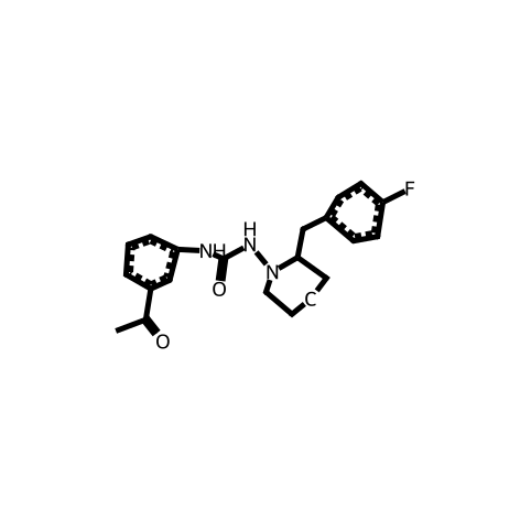 CC(=O)c1cccc(NC(=O)NN2CCCCC2Cc2ccc(F)cc2)c1